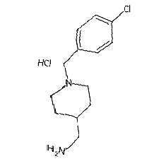 Cl.NCC1CCN(Cc2ccc(Cl)cc2)CC1